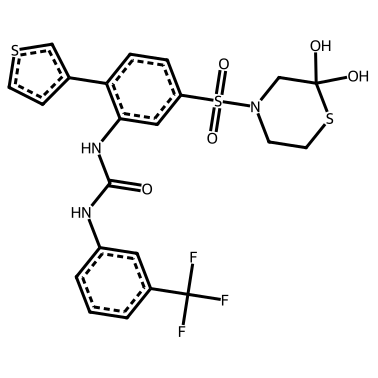 O=C(Nc1cccc(C(F)(F)F)c1)Nc1cc(S(=O)(=O)N2CCSC(O)(O)C2)ccc1-c1ccsc1